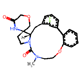 CN1CCOc2ccccc2-c2cccc(c2F)C[C@@H]2N(CC[C@@]23COCC(=O)N3)C1=O